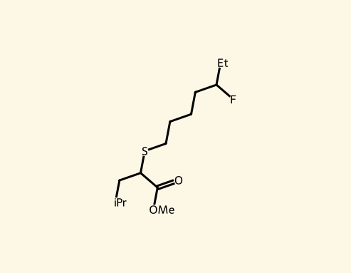 CCC(F)CCCCSC(CC(C)C)C(=O)OC